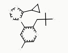 CC(C)(N)Cc1ncc(Br)cc1-n1nnnc1C1CC1